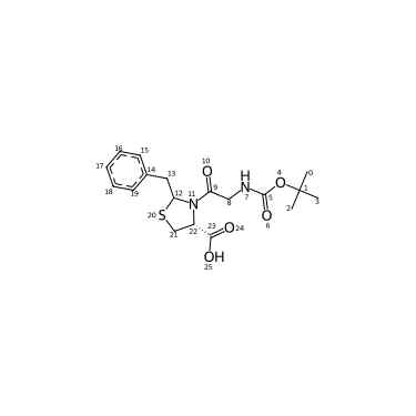 CC(C)(C)OC(=O)NCC(=O)N1C(Cc2ccccc2)SC[C@H]1C(=O)O